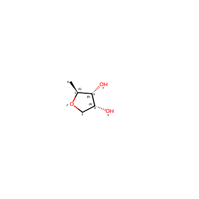 C[C@@H]1OC[C@@H](O)[C@H]1O